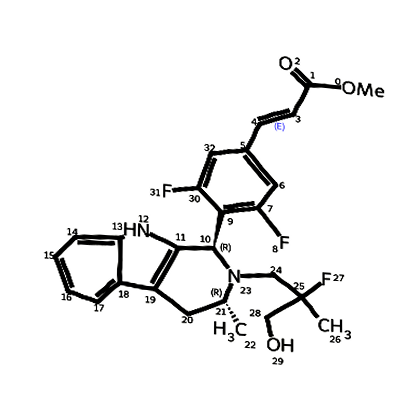 COC(=O)/C=C/c1cc(F)c([C@@H]2c3[nH]c4ccccc4c3C[C@@H](C)N2CC(C)(F)CO)c(F)c1